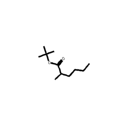 CCCCC(C)C(=O)OC(C)(C)C